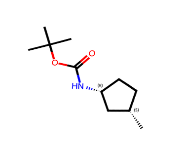 C[C@H]1CC[C@@H](NC(=O)OC(C)(C)C)C1